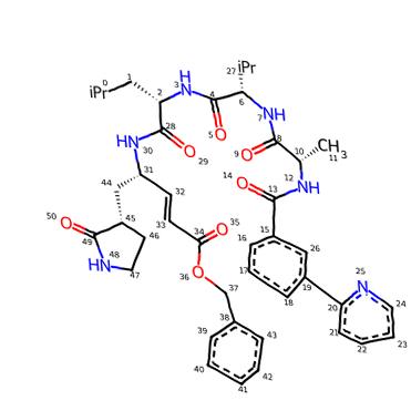 CC(C)C[C@H](NC(=O)[C@@H](NC(=O)[C@H](C)NC(=O)c1cccc(-c2ccccn2)c1)C(C)C)C(=O)N[C@H](/C=C/C(=O)OCc1ccccc1)C[C@@H]1CCNC1=O